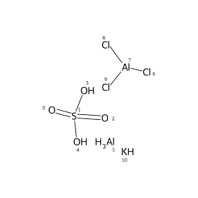 O=S(=O)(O)O.[AlH3].[Cl][Al]([Cl])[Cl].[KH]